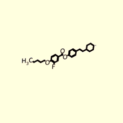 CCCCCOc1ccc(C(=O)Oc2ccc(CCC3CC[CH]CC3)cc2)cc1F